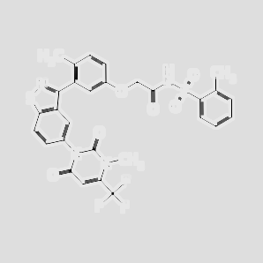 Cc1ccc(OCC(=O)NS(=O)(=O)c2ccccc2C)cc1-c1nsc2ccc(-n3c(=O)cc(C(F)(F)F)n(C)c3=O)cc12